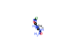 Cn1c(NCc2ccc(Oc3ncc(Cl)cn3)cc2)nc2ccc(NC3CN(C(N)=O)C3)cc21